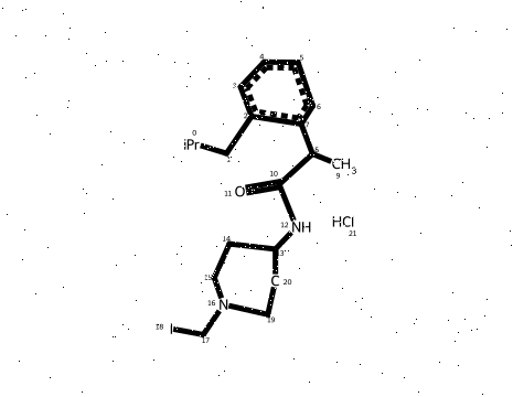 CC(C)Cc1ccccc1C(C)C(=O)NC1CCN(CI)CC1.Cl